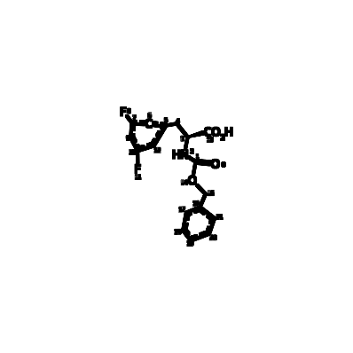 O=C(N[C@@H](Cc1cc(F)cc(F)c1)C(=O)O)OCc1ccccc1